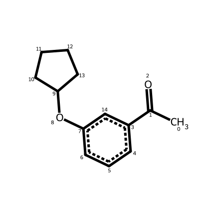 CC(=O)c1cccc(OC2CCCC2)c1